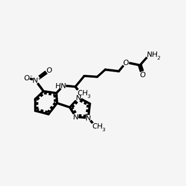 CC(CCCCOC(N)=O)Nc1c(-c2ncn(C)n2)cccc1[N+](=O)[O-]